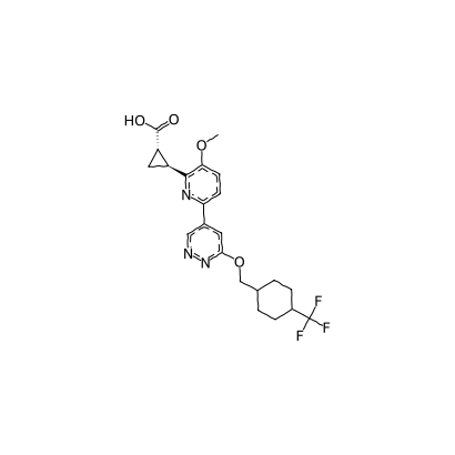 COc1ccc(-c2cnnc(OCC3CCC(C(F)(F)F)CC3)c2)nc1[C@H]1C[C@@H]1C(=O)O